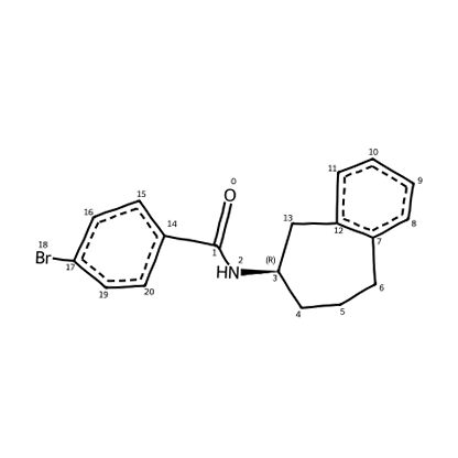 O=C(N[C@@H]1CCCc2ccccc2C1)c1ccc(Br)cc1